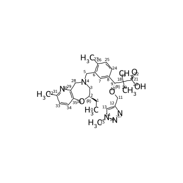 CC[C@@H]1CN(Cc2cc([C@@H](OCc3cn(C)nn3)C(C)(C)C(=O)O)ccc2C)Cc2nc(C)ccc2O1